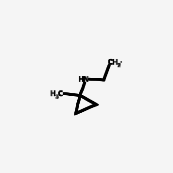 [CH2]CNC1(C)CC1